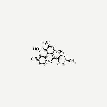 Cc1nc(C)c(C(=O)N2CCN(C)CC2)c(-c2cccc(Cl)c2)c1C(=O)O